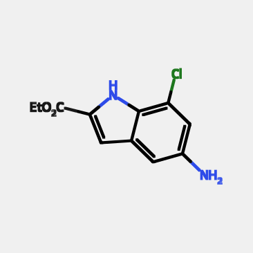 CCOC(=O)c1cc2cc(N)cc(Cl)c2[nH]1